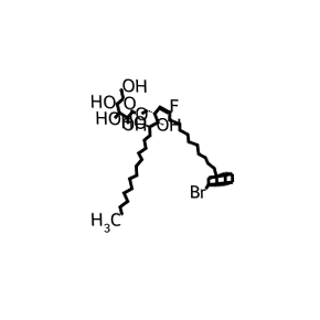 CCCCCCCCCCCCCC[C@@H](O)[C@@H](O)[C@@H](/C=C(/F)CCCCCCCCCCC12C3C4C5C3C1C5(Br)C42)COC1OC(CO)C(O)C(O)C1O